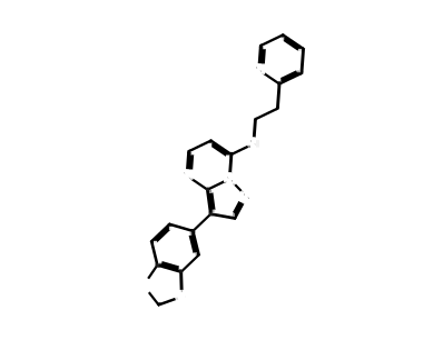 c1ccc(CCNc2ccnc3c(-c4ccc5c(c4)OCO5)cnn23)nc1